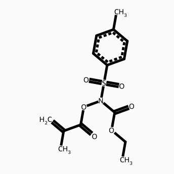 C=C(C)C(=O)ON(C(=O)OCC)S(=O)(=O)c1ccc(C)cc1